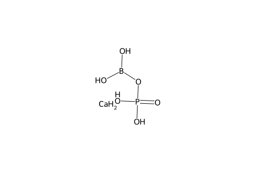 O=P(O)(O)OB(O)O.[CaH2]